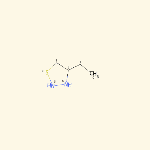 CCC1CSNN1